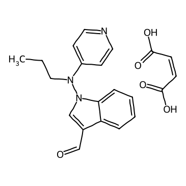 CCCN(c1ccncc1)n1cc(C=O)c2ccccc21.O=C(O)/C=C\C(=O)O